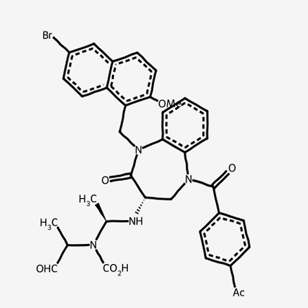 COc1ccc2cc(Br)ccc2c1CN1C(=O)[C@@H](N[C@H](C)N(C(=O)O)C(C)C=O)CN(C(=O)c2ccc(C(C)=O)cc2)c2ccccc21